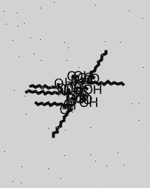 CCCCCCCCCCC[C@H](CC(=O)NC1[C@H](OC[C@H](NC(=O)C[C@@H](CCCCCCCCCCC)OC(=O)CCCCCCCCC)C(=O)O)OC(CO)[C@@H](OP(=O)(O)O)[C@@H]1OC(=O)C[C@@H](CCCCCCCCCCC)OC(=O)CCCCCCCCC)OC(=O)CCCCCCCCC